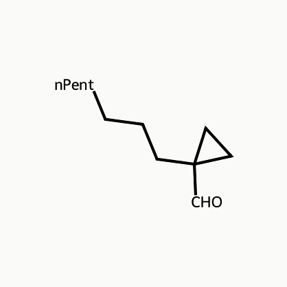 CCCCCCCCC1(C=O)CC1